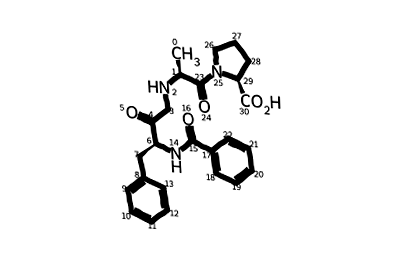 C[C@H](NCC(=O)[C@H](Cc1ccccc1)NC(=O)c1ccccc1)C(=O)N1CCC[C@H]1C(=O)O